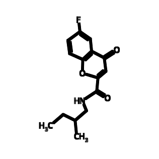 CCC(C)CNC(=O)c1cc(=O)c2cc(F)ccc2o1